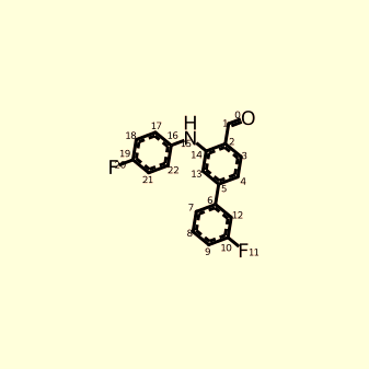 O=Cc1ccc(-c2cccc(F)c2)cc1Nc1ccc(F)cc1